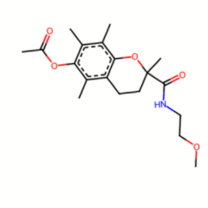 COCCNC(=O)C1(C)CCc2c(C)c(OC(C)=O)c(C)c(C)c2O1